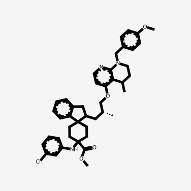 COC(=O)C1(Nc2cccc(Cl)c2)CCC2(CC1)c1ccccc1CC2C[C@@H](C)COc1ccnc2c1C(C)CCN2Cc1ccc(OC)cc1